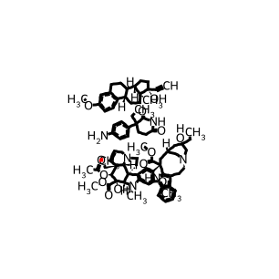 C#C[C@]1(O)CC[C@H]2[C@@H]3CCc4cc(OC)ccc4[C@H]3CC[C@@]21C.CCC1(c2ccc(N)cc2)CCC(=O)NC1=O.CC[C@]1(O)C[C@@H]2C[N@@](CCc3c([nH]c4ccccc34)[C@@](C(=O)OC)(c3cc4c(cc3OC)N(C)[C@H]3[C@@](O)(C(=O)OC)[C@H](OC(C)=O)[C@]5(CC)C=CCN6CC[C@]43[C@@H]65)C2)C1